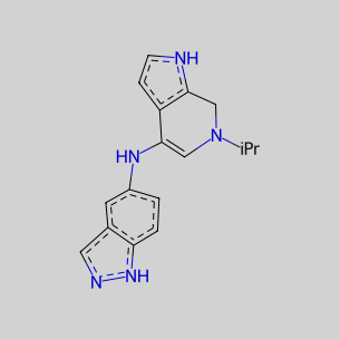 CC(C)N1C=C(Nc2ccc3[nH]ncc3c2)c2cc[nH]c2C1